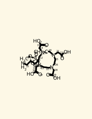 CO[Si](OC)(OC)C1(CCCN)CN(CC(=O)O)CCN(CC(=O)O)CCN(CC(=O)O)CCN1CC(=O)O